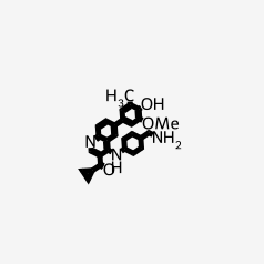 COc1cc(-c2ccc3ncc(C(=O)C4CC4)c(NC4CCC(CN)CC4)c3c2)cc(C)c1O